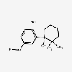 CCOc1cccc(C2(O)CCCCC2(C)C)c1.Cl